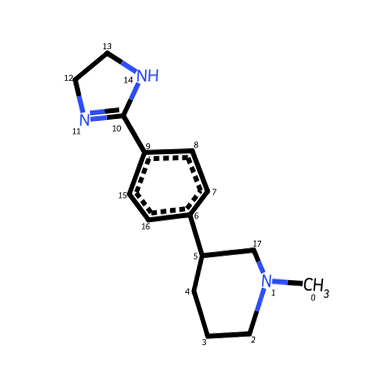 CN1CCCC(c2ccc(C3=NCCN3)cc2)C1